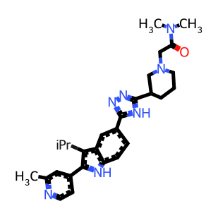 Cc1cc(-c2[nH]c3ccc(-c4nnc(C5CCCN(CC(=O)N(C)C)C5)[nH]4)cc3c2C(C)C)ccn1